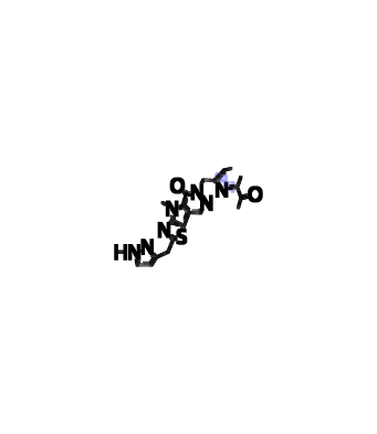 C/C=C(Cn1ncc2c3sc(Cc4cc[nH]n4)nc3n(C)c2c1=O)\N=C(/C)C(C)=O